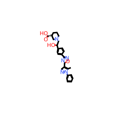 Cc1c(-c2nc(-c3ccc(C(O)CN4CCC[C@H](C(=O)O)C4)cc3)no2)cnn1-c1ccccc1